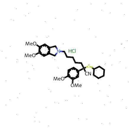 COc1ccc(C(C#N)(CCCCCN2Cc3cc(OC)c(OC)cc3C2)SC2CCCCC2)cc1OC.Cl